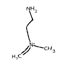 C=[N+](C)CCN